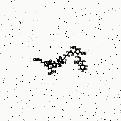 CCN[C@@H]1CN(CCCOC)S(=O)(=O)c2sc(S(=O)(=O)NC(=O)CCC/C=C\C[C@H]3C(O)C[C@@H](O)[C@@H]3/C=C/[C@@H](O)Cc3ccccc3)cc21